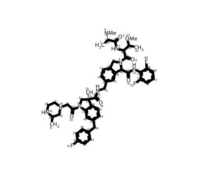 CN[C@@H](C)C(=O)NC(C(=O)N1Cc2ccc(CNC(=O)[C@]3(C)CN(C(=O)CN4CCNC(C)C4)c4cc(Cc5ccc(F)cc5)ccc43)cc2C1C(=O)Nc1c(F)cccc1F)C(C)OC